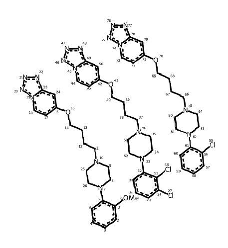 COc1ccccc1N1CCN(CCCCOc2ccn3nnnc3c2)CC1.Clc1cccc(N2CCN(CCCCOc3ccn4nnnc4c3)CC2)c1Cl.Clc1ccccc1N1CCN(CCCCOc2ccn3nnnc3c2)CC1